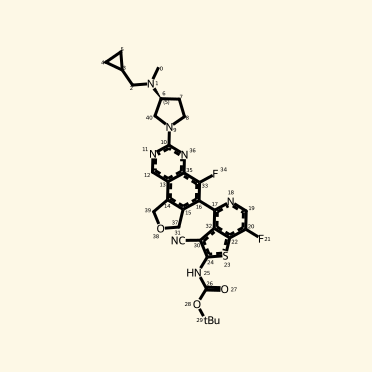 CN(CC1CC1)[C@H]1CCN(c2ncc3c4c(c(-c5ncc(F)c6sc(NC(=O)OC(C)(C)C)c(C#N)c56)c(F)c3n2)COC4)C1